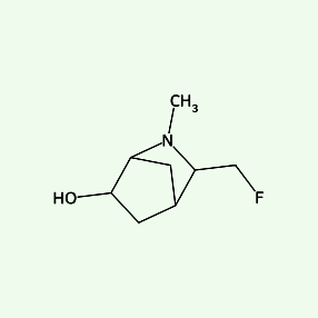 CN1C2CC(CC2O)C1CF